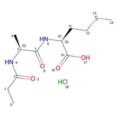 CCC(=O)N[C@@H](C)C(=O)N[C@@H](CCSC)C(=O)O.Cl